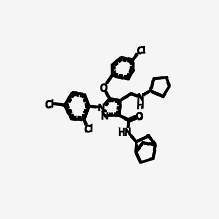 O=C(NC1CC2CCC1C2)c1nn(-c2ccc(Cl)cc2Cl)c(Oc2ccc(Cl)cc2)c1CNC1CCCC1